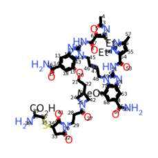 CCc1nc(C)oc1C(=O)Nc1nc2cc(C(N)=O)cc(OCCC3CN(C(=O)CCN4C(=O)CC(SCC(N)C(=O)O)C4=O)C3)c2n1C/C=C/Cn1c(NC(=O)c2cc(C)nn2CC)nc2cc(C(N)=O)cc(OC)c21